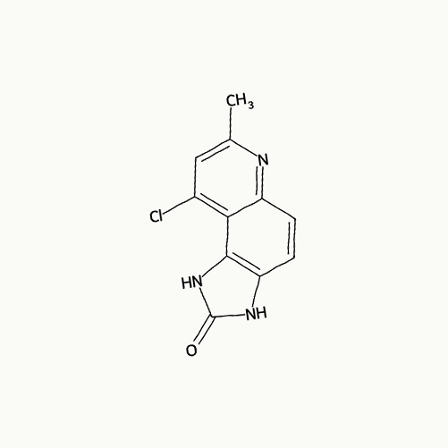 Cc1cc(Cl)c2c(ccc3[nH]c(=O)[nH]c32)n1